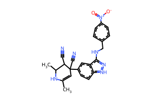 CC1=CC(C#N)(c2ccc3[nH]nc(NCc4ccc([N+](=O)[O-])cc4)c3c2)C(C#N)C(C)N1